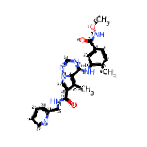 CONC(=O)c1ccc(C)c(Nc2ncnn3cc(C(=O)NCc4ccccn4)c(C)c23)c1